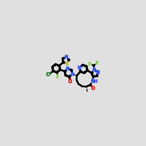 C[C@@H]1CCC[C@H](n2cnc(-c3c(-c4cncs4)ccc(Cl)c3F)cc2=O)c2cc(ccn2)-c2c(cnn2C(F)F)NC1=O